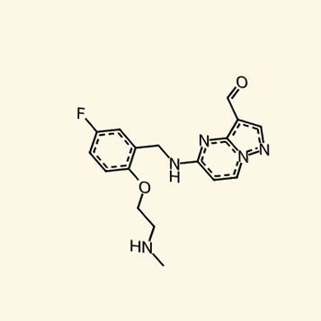 CNCCOc1ccc(F)cc1CNc1ccn2ncc(C=O)c2n1